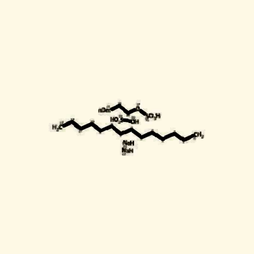 CCCCCCCCCCCCCC.CCCCCCCCCCCCOS(=O)(=O)O.O=S(=O)(O)O.[NaH].[NaH]